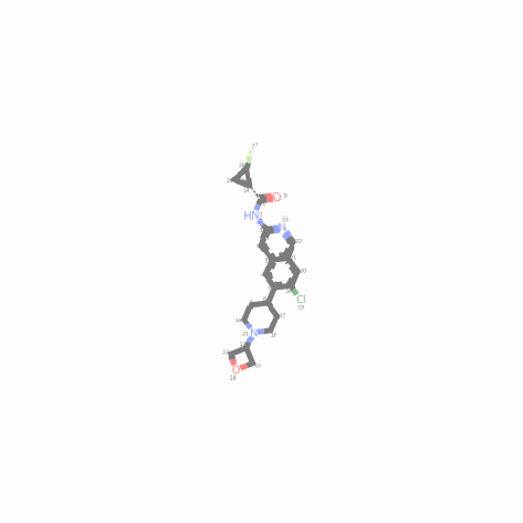 O=C(Nc1cc2cc(C3CCN(C4COC4)CC3)c(Cl)cc2cn1)[C@@H]1CC1F